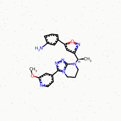 COc1cc(-c2nnc3n2CCCN3[C@H](C)c2cc(-c3cccc(N)c3)on2)ccn1